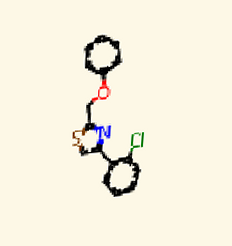 Clc1ccccc1-c1csc(COc2ccccc2)n1